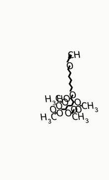 C#CCOCCCCCCCOC(O)C(OC(C)=O)C(OC(C)=O)C(CCOC(C)=O)OC(C)=O